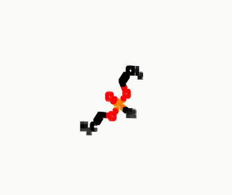 C=COP(=O)(CC)OC=C